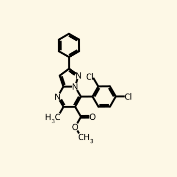 COC(=O)c1c(C)nc2cc(-c3ccccc3)nn2c1-c1ccc(Cl)cc1Cl